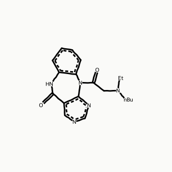 CCCCN(CC)CC(=O)N1c2ccccc2NC(=O)c2cncnc21